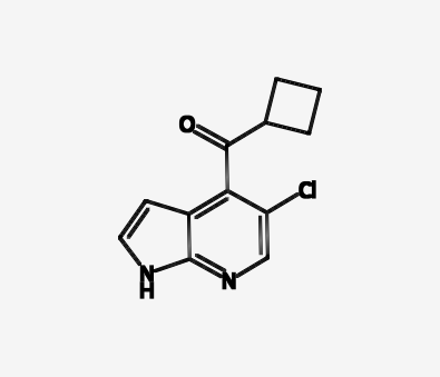 O=C(c1c(Cl)cnc2[nH]ccc12)C1CCC1